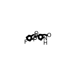 O=C1Cc2cc(S(=O)(=O)Cc3ccc(F)cc3F)ccc2N1